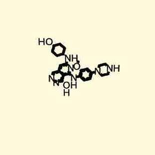 COc1cc(N2CCNCC2)ccc1Nc1nc(N[C@H]2CC[C@H](O)CC2)cc2cnnc(O)c12